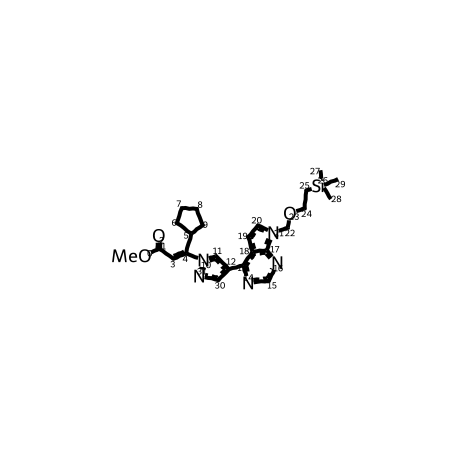 COC(=O)/C=C(\C1CCCC1)n1cc(-c2ncnc3c2ccn3COCC[Si](C)(C)C)cn1